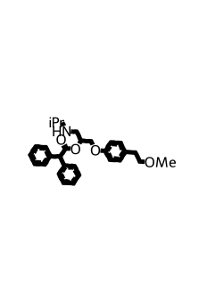 COCCc1ccc(OCC(CNC(C)C)OC(=O)C(c2ccccc2)c2ccccc2)cc1